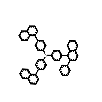 c1ccc(-c2ccc3ccccc3c2-c2ccc(N(c3ccc(-c4cccc5ccccc45)cc3)c3ccc(-c4cccc5ccccc45)cc3)cc2)cc1